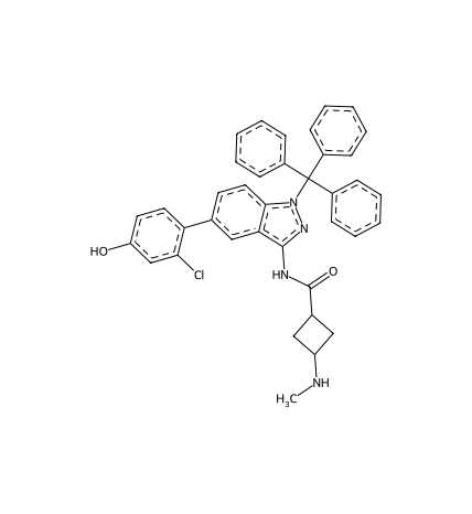 CNC1CC(C(=O)Nc2nn(C(c3ccccc3)(c3ccccc3)c3ccccc3)c3ccc(-c4ccc(O)cc4Cl)cc23)C1